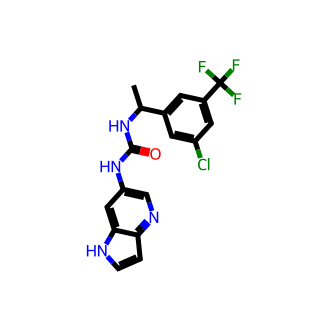 CC(NC(=O)Nc1cnc2cc[nH]c2c1)c1cc(Cl)cc(C(F)(F)F)c1